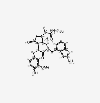 CCCCNC(=O)N(C)N1CC(=O)N2[C@@H](Cc3ccc(O)c(OC)c3)C(=O)N(Cc3cccc4sc(N)nc34)C[C@@H]21